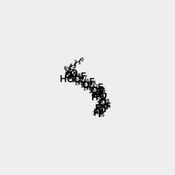 CCCCCC1(C)COC(O)(c2ccc(-c3ccc(-c4cc(F)c(C(F)(F)Oc5ccc(OC(F)(F)F)c(F)c5)c(F)c4)c(F)c3)c(F)c2)OC1